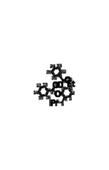 CCc1ccc(CC(C)C)c(OC(=O)c2ccccc2)c1OC(=O)c1ccccc1